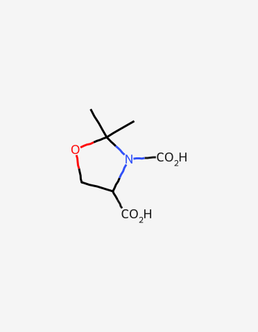 CC1(C)OCC(C(=O)O)N1C(=O)O